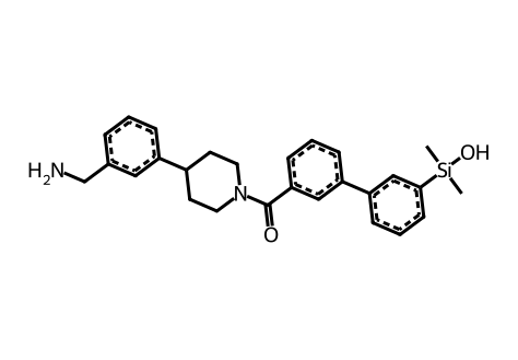 C[Si](C)(O)c1cccc(-c2cccc(C(=O)N3CCC(c4cccc(CN)c4)CC3)c2)c1